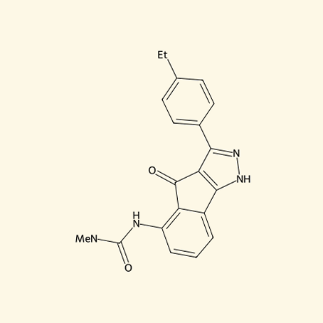 CCc1ccc(-c2n[nH]c3c2C(=O)c2c(NC(=O)NC)cccc2-3)cc1